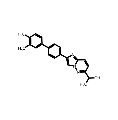 Cc1ccc(-c2ccc(-c3cn4nc(C(C)O)ccc4n3)cc2)cc1C